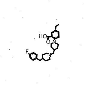 CCc1ccc(N2CCC(CN3CCC(Cc4ccc(F)cc4)CC3)CC2)c(C(=O)O)c1